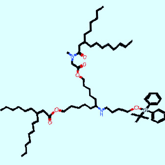 CCCCCCCCC(CCCCCC)CC(=O)OCCCCCC(CCCCCOC(=O)CN(C)C(=O)CC(CCCCCC)CCCCCCCC)NCCCCO[Si](c1ccccc1)(c1ccccc1)C(C)(C)C